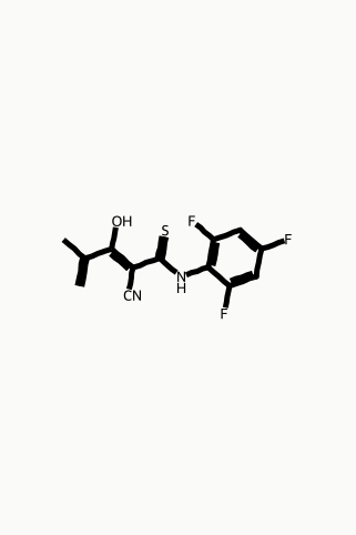 C=C(C)/C(O)=C(\C#N)C(=S)Nc1c(F)cc(F)cc1F